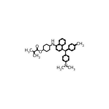 C=C(C)C(=O)OC1CCC(Nc2ccc(C(c3ccc(N(C)C)cc3)=c3ccc(=C)cc3)c3ccccc23)CC1